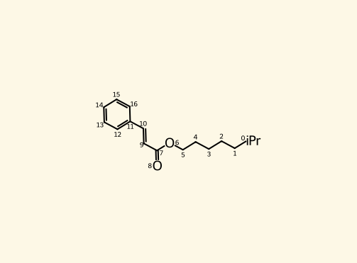 CC(C)CCCCCOC(=O)C=Cc1ccccc1